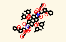 Cc1cc(C)cc(Oc2cc3c4c(cc(Oc5cc(C)cc(C)c5)c5c6c(Oc7cc(C)cc(C)c7)cc7c8c(cc(Oc9cc(C)cc(C)c9)c(c2c45)c86)C(=O)N(C(Cc2cccc4c2oc2ccccc24)C(=O)OCC2CO2)C7=O)C(=O)N(C(Cc2cccc4c2oc2ccccc24)C(=O)OCC2CO2)C3=O)c1